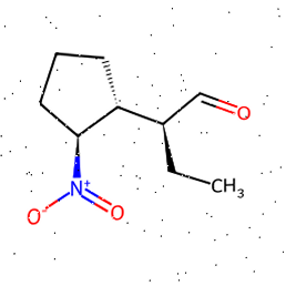 CC[C@H](C=O)[C@H]1CCC[C@@H]1[N+](=O)[O-]